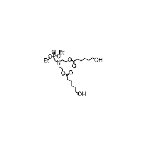 CCOP(=O)(CN(CCOC(=O)CCCCCO)CCOC(=O)CCCCCO)OCC